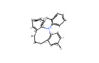 COc1ccccc1N1c2ccccc2CCCc2cc(C)ccc21